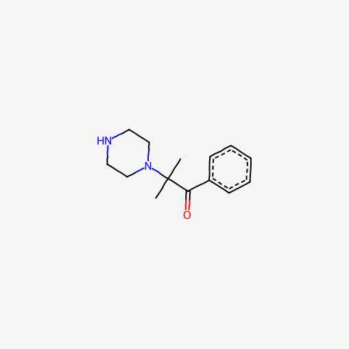 CC(C)(C(=O)c1ccccc1)N1CCNCC1